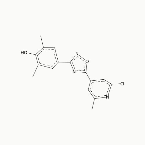 Cc1cc(-c2nc(-c3cc(C)c(O)c(C)c3)no2)cc(Cl)n1